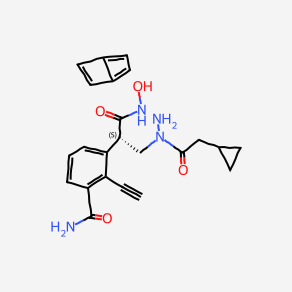 C#Cc1c(C(N)=O)cccc1[C@@H](CN(N)C(=O)CC1CC1)C(=O)NO.c1cc2ccc1-2